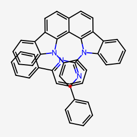 c1ccc(-c2cc(-c3ccccc3)nc(-n3c4ccccc4c4ccc5ccc6c7ccccc7n(-c7ccccc7)c6c5c43)n2)cc1